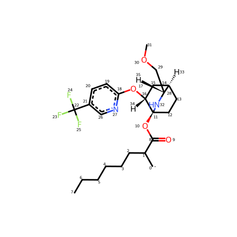 [CH2]C(CCCCCC)C(=O)O[C@@]12CC[C@H](C[C@H]1Oc1ccc(C(F)(F)F)cn1)[C@@H](COC)N2